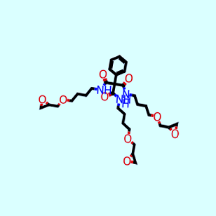 O=C(NCCCCOCC1CO1)C(C(=O)NCCCCOCC1CO1)(C(=O)NCCCCOCC1CO1)c1ccccc1